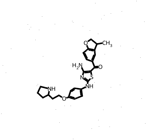 CC1COc2ccc(C(=O)c3sc(Nc4ccc(OCCC5CCCN5)cc4)nc3N)cc21